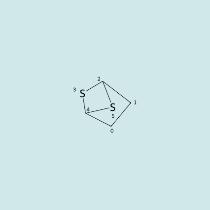 C1CC2SC1S2